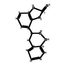 O=C1[N]c2c(cccc2C2Cc3ccccc3OO2)O1